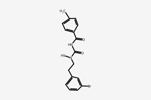 Cc1ccc(C(=O)NC(=O)N(S)CCc2cccc(Br)c2)cc1